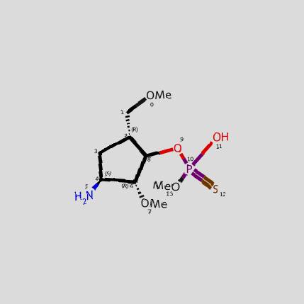 COC[C@H]1C[C@H](N)[C@@H](OC)C1OP(O)(=S)OC